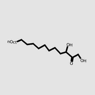 CCCCCCCCCCCCCCCCC(O)C(=O)CO